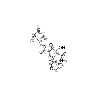 CN1C(=O)c2c(O)c(=O)c(C(=O)NCc3c(F)cc(F)cc3F)cn2[C@H]2COCC[C@]21C